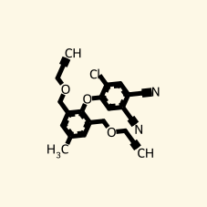 C#CCOCc1cc(C)cc(COCC#C)c1Oc1cc(C#N)c(C#N)cc1Cl